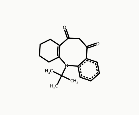 CC(C)(C)N1C2=C(CCCC2)C(=O)CC(=O)c2ccccc21